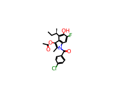 CC[C@@H](C)c1c(O)c(F)cc2c1c(OC(C)=O)c(C)n2C(=O)c1ccc(Cl)cc1